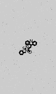 O=C1C(=Cc2c3ccccc3nc3ccccc23)NC(=S)N1Cc1ccccc1